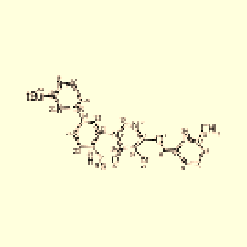 Cc1cccc(COc2ncn(-c3cc(-c4ccnc(C(C)(C)C)n4)ccc3C)c(=O)c2Br)n1